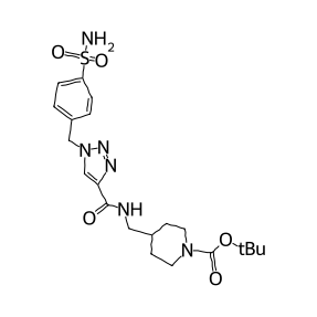 CC(C)(C)OC(=O)N1CCC(CNC(=O)c2cn(Cc3ccc(S(N)(=O)=O)cc3)nn2)CC1